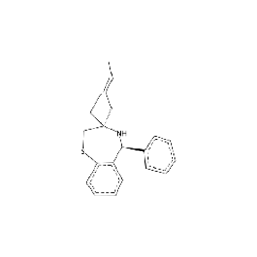 C/C=C/C[C@@]1(CC)CSc2ccccc2[C@H](c2ccccc2)N1